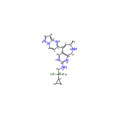 C[C@@H]1C=C(c2ccn3nccc3n2)c2cnc(NCC(F)(F)C3CC3)nc2CN1